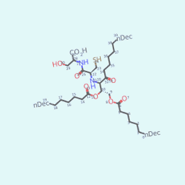 CCCCCCCCCCCCCCCC(=O)OC[C@H](OC(=O)CCCCCCCCCCCCCCC)C(N[C@H](CS)C(=O)NC(CO)C(=O)O)C(=O)CCCCCCCCCCCCCCC